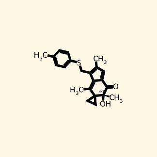 CC1=C(CSc2ccc(C)cc2)C2=C(C)C3(CC3)[C@@](C)(O)C(=O)C2=C1